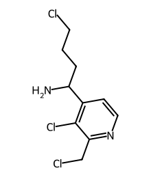 NC(CCCCl)c1ccnc(CCl)c1Cl